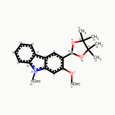 CCCCCCCCCCOc1cc2c(cc1B1OC(C)(C)C(C)(C)O1)c1ccccc1n2CCCCCCCCCC